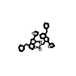 [Cl][Zr]([Cl])[SiH](CC1C(c2ccco2)=Cc2c(Cc3ccccc3)cccc21)CC1C(c2ccco2)=Cc2c(Cc3ccccc3)cccc21